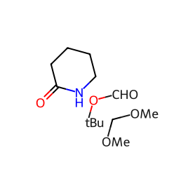 CC(C)(C)OC=O.COCOC.O=C1CCCCN1